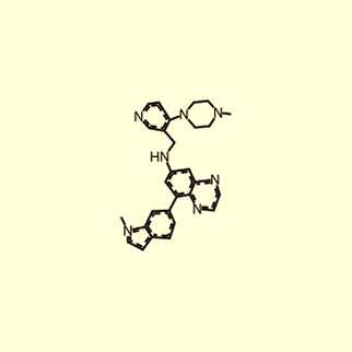 CN1CCN(c2ccncc2CNc2cc(-c3ccc4ccn(C)c4c3)c3nccnc3c2)CC1